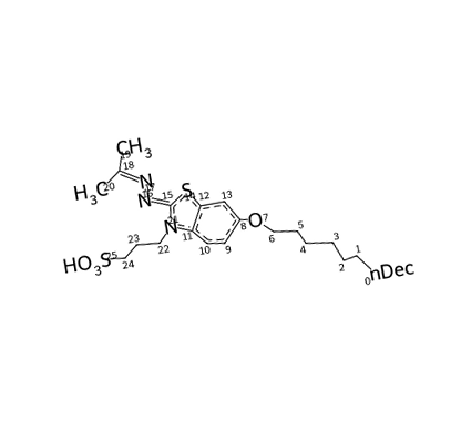 CCCCCCCCCCCCCCCCOc1ccc2c(c1)sc(=NN=C(C)C)n2CCCS(=O)(=O)O